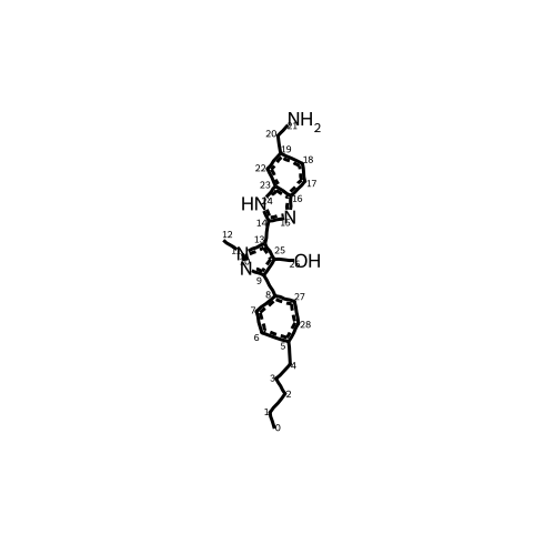 CCCCCc1ccc(-c2nn(C)c(-c3nc4ccc(CN)cc4[nH]3)c2O)cc1